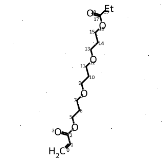 C=CC(=O)OCCCOCCCOCCCOC(=O)CC